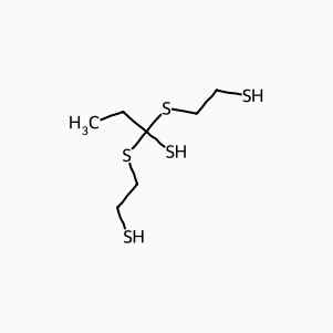 CCC(S)(SCCS)SCCS